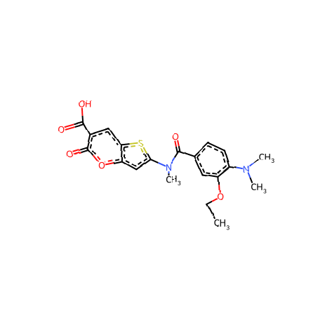 CCOc1cc(C(=O)N(C)c2cc3oc(=O)c(C(=O)O)cc3s2)ccc1N(C)C